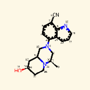 C[C@@H]1CN(c2ccc(C#N)c3ncccc23)CC2C[C@H](O)CCN21